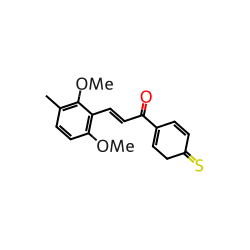 COc1ccc(C)c(OC)c1C=CC(=O)C1=CCC(=S)C=C1